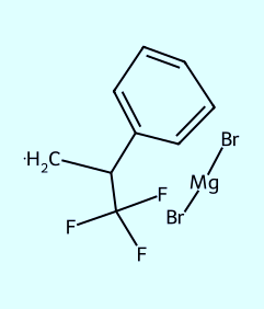 [Br][Mg][Br].[CH2]C(c1ccccc1)C(F)(F)F